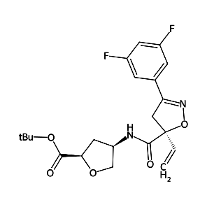 C=C[C@]1(C(=O)N[C@H]2CO[C@@H](C(=O)OC(C)(C)C)C2)CC(c2cc(F)cc(F)c2)=NO1